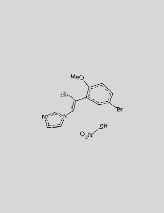 COc1ccc(Br)cc1/C(=C/n1ccnc1)C(C)(C)C.O=[N+]([O-])O